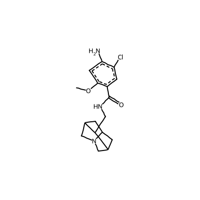 COc1cc(N)c(Cl)cc1C(=O)NCC1C2CC3CC1CN3C2